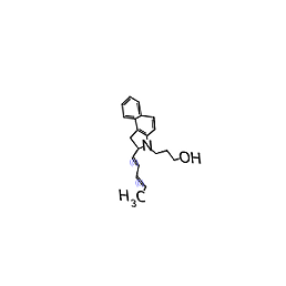 C/C=C/C=C/C1Cc2c(ccc3ccccc23)N1CCCO